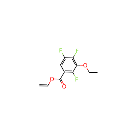 C=COC(=O)c1cc(F)c(F)c(OCC)c1F